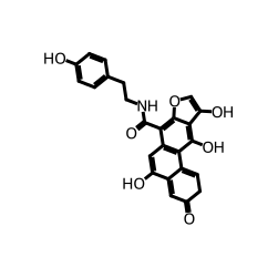 O=C1C=c2c(O)cc3c(C(=O)NCCc4ccc(O)cc4)c4occ(O)c4c(O)c3c2=CC1